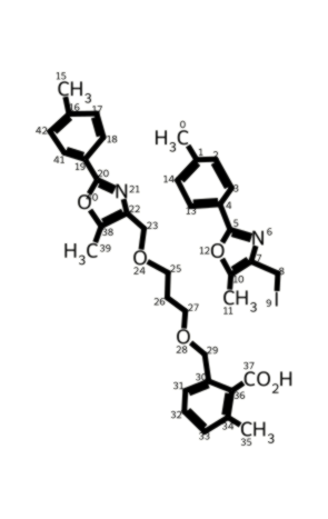 Cc1ccc(-c2nc(CI)c(C)o2)cc1.Cc1ccc(-c2nc(COCCCOCc3cccc(C)c3C(=O)O)c(C)o2)cc1